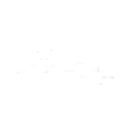 N=C(N)Nc1ccc(C(=O)Oc2ccc(CC(=O)O)n3ncnc23)cc1F